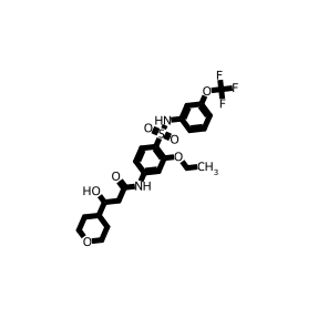 CCOc1cc(NC(=O)CC(O)C2CCOCC2)ccc1S(=O)(=O)Nc1cccc(OC(F)(F)F)c1